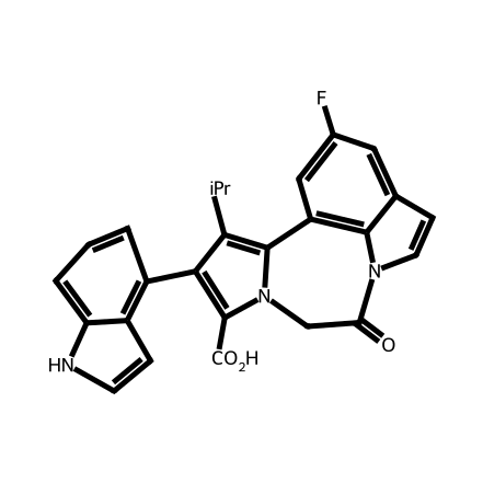 CC(C)c1c(-c2cccc3[nH]ccc23)c(C(=O)O)n2c1-c1cc(F)cc3ccn(c13)C(=O)C2